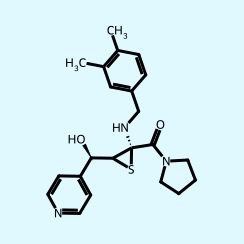 Cc1ccc(CN[C@]2(C(=O)N3CCCC3)SC2[C@H](O)c2ccncc2)cc1C